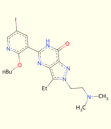 CCCCOc1ncc(I)cc1-c1nc2c(CC)n(CCN(C)C)nc2c(=O)[nH]1